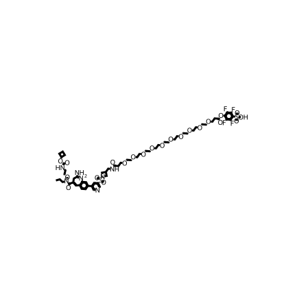 CCCN(OCCNC(=O)OC1CCC1)C(=O)C1=Cc2ccc(-c3cncc(S(=O)(=O)N4CC(CNC(=O)CCOCCOCCOCCOCCOCCOCCOCCOCCOCCOCCC(=O)Oc5c(F)c(F)c(S(=O)(=O)O)c(F)c5F)C4)c3)cc2N=C(N)C1